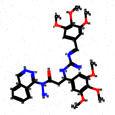 COc1cc(C=NC(=N)NC(CC(=O)N(N)c2nncc3ccccc23)c2cc(OC)c(OC)c(OC)c2)cc(OC)c1OC